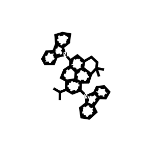 CC(C)c1cc(-n2c3ccccc3c3ccccc32)c2cc3c4c(cc(-n5c6ccccc6c6ccccc65)c5ccc1c2c54)CCC3(C)C